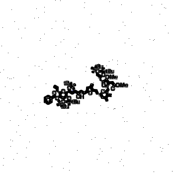 C=CC[C@@H]1O[C@@H](C(/C=C/C(O)CCC2CC(=C)C(CC[C@H]3CC(C)C(=C)C(C[C@@H]4O[C@H](C[C@@H](CO[Si](C)(C)C(C)(C)C)O[Si](C)(C)C(C)(C)C)[C@H](OC)C4CC(=O)OC)O3)O2)O[Si](C)(C)C(C)(C)C)C(O[Si](C)(C)C(C)(C)C)C(O[Si](C)(C)C(C)(C)C)C1OC(=O)c1ccccc1